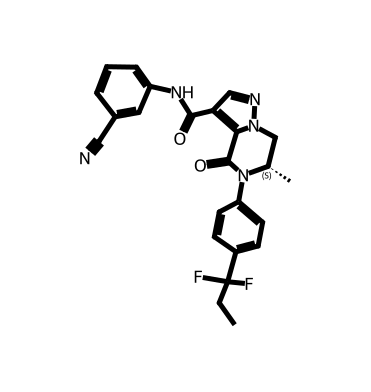 CCC(F)(F)c1ccc(N2C(=O)c3c(C(=O)Nc4cccc(C#N)c4)cnn3C[C@@H]2C)cc1